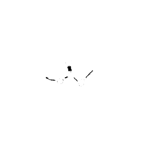 CO[13C](=O)OC